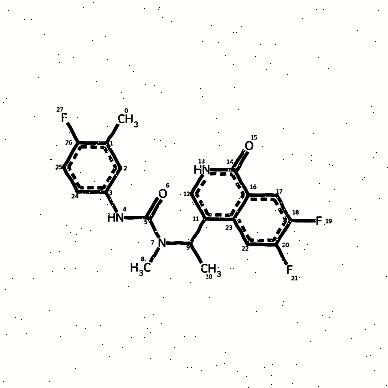 Cc1cc(NC(=O)N(C)C(C)c2c[nH]c(=O)c3cc(F)c(F)cc23)ccc1F